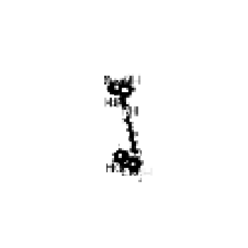 O=C(O)C(O)(c1ccccc1)c1cccc(OCCCCCCCCNCC(O)c2ccc(O)c3[nH]c(=O)ccc23)c1